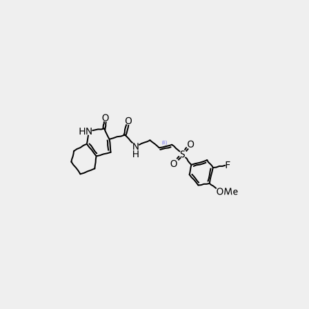 COc1ccc(S(=O)(=O)/C=C/CNC(=O)c2cc3c([nH]c2=O)CCCC3)cc1F